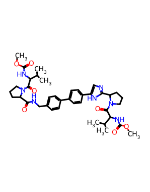 COC(=O)NC(C(=O)N1CCCC1C(=O)NCc1ccc(-c2ccc(-c3cnc(C4CCCN4C(=O)C(NC(=O)OC)C(C)C)[nH]3)cc2)cc1)C(C)C